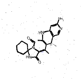 CC1=C(/C(C)=C2/C(=O)NC3(CCCCC3)N2C=O)[C@@H](C)c2cnc(N)cc2N1